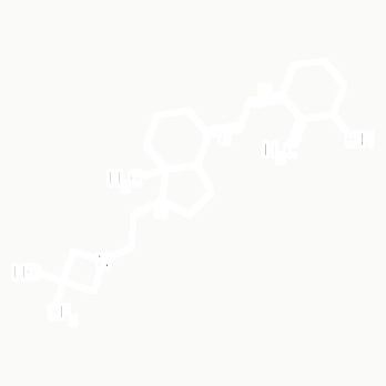 C=C1/C(=C\C=C2/CCCC3(C)C2CC[C@@H]3CCN2CC(O)(C(F)(F)F)C2)CCCC1O